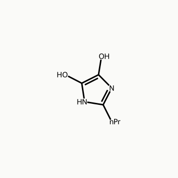 CCCc1nc(O)c(O)[nH]1